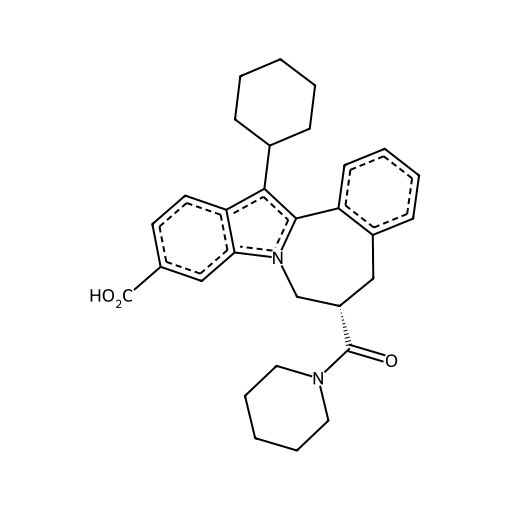 O=C(O)c1ccc2c(C3CCCCC3)c3n(c2c1)C[C@@H](C(=O)N1CCCCC1)Cc1ccccc1-3